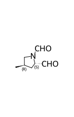 C[C@@H]1C[C@@H](C=O)N(C=O)C1